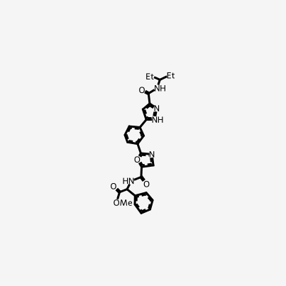 CCC(CC)NC(=O)c1cc(-c2cccc(-c3ncc(C(=O)NC(C(=O)OC)c4ccccc4)o3)c2)[nH]n1